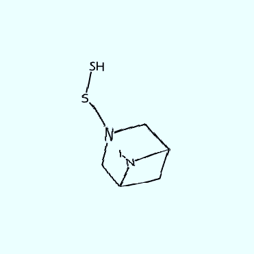 SSN1CC2CC(C1)N2I